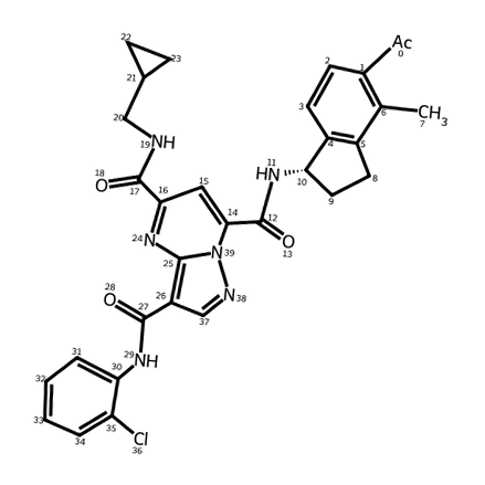 CC(=O)c1ccc2c(c1C)CC[C@@H]2NC(=O)c1cc(C(=O)NCC2CC2)nc2c(C(=O)Nc3ccccc3Cl)cnn12